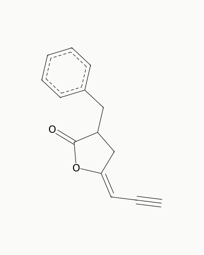 C#C/C=C1\CC(Cc2ccccc2)C(=O)O1